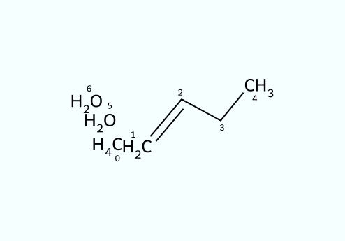 C.C=CCC.O.O